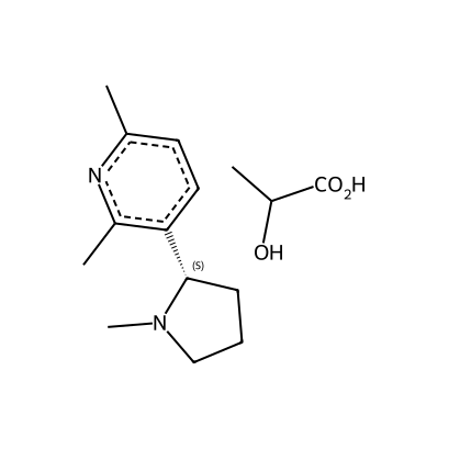 CC(O)C(=O)O.Cc1ccc([C@@H]2CCCN2C)c(C)n1